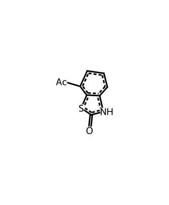 CC(=O)c1cccc2[nH]c(=O)sc12